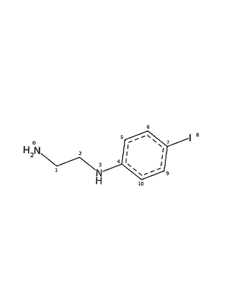 NCCNc1ccc(I)cc1